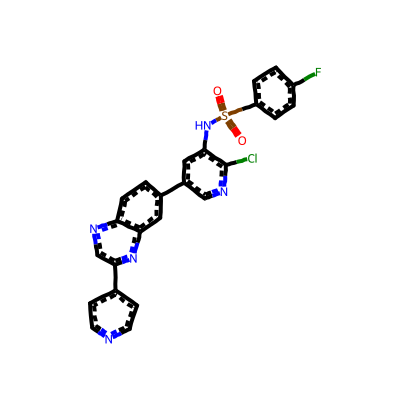 O=S(=O)(Nc1cc(-c2ccc3ncc(-c4ccncc4)nc3c2)cnc1Cl)c1ccc(F)cc1